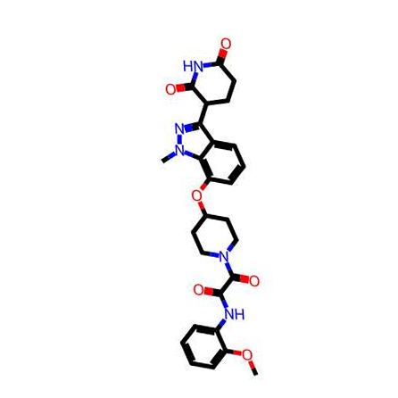 COc1ccccc1NC(=O)C(=O)N1CCC(Oc2cccc3c(C4CCC(=O)NC4=O)nn(C)c23)CC1